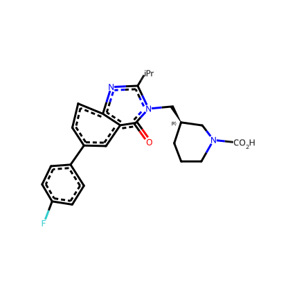 CC(C)c1nc2ccc(-c3ccc(F)cc3)cc2c(=O)n1C[C@@H]1CCCN(C(=O)O)C1